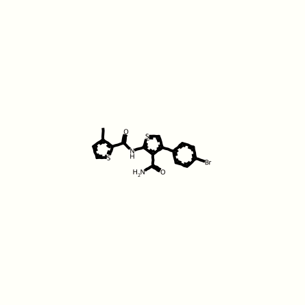 Cc1ccsc1C(=O)Nc1scc(-c2ccc(Br)cc2)c1C(N)=O